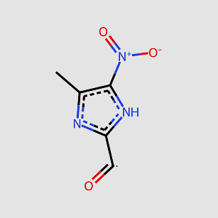 Cc1nc([C]=O)[nH]c1[N+](=O)[O-]